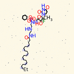 CC/C=C\C/C=C\C/C=C\C/C=C\C/C=C\C/C=C\CCC(=O)NCCNCCNP(=O)(OC[C@H]1OC(n2ccc(=O)[nH]c2=O)[C@](C)(F)[C@@H]1O)Oc1ccccc1